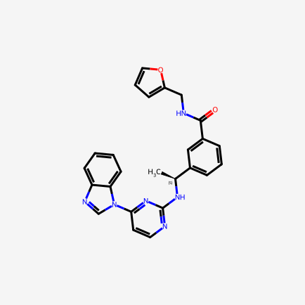 C[C@H](Nc1nccc(-n2cnc3ccccc32)n1)c1cccc(C(=O)NCc2ccco2)c1